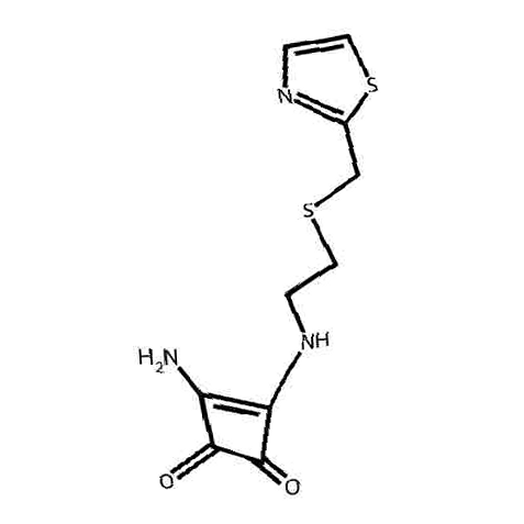 Nc1c(NCCSCc2nccs2)c(=O)c1=O